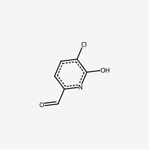 O=Cc1ccc(Cl)c(O)n1